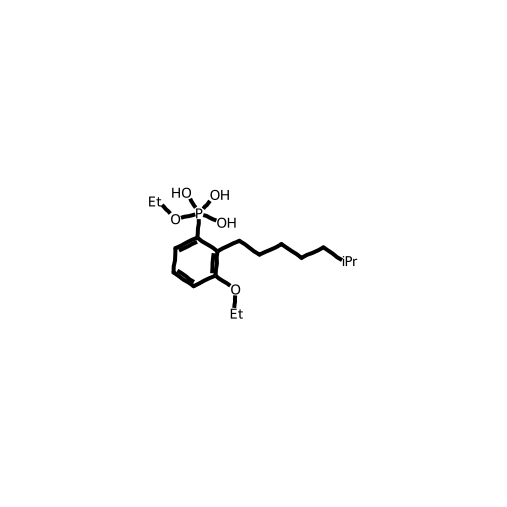 CCOc1cccc(P(O)(O)(O)OCC)c1CCCCCC(C)C